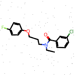 CCN(CCCOc1ccc(F)cc1)C(=O)c1cccc(Cl)c1